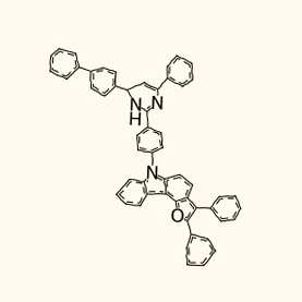 C1=C(c2ccccc2)N=C(c2ccc(-n3c4ccccc4c4c5oc(-c6ccccc6)c(-c6ccccc6)c5ccc43)cc2)NC1c1ccc(-c2ccccc2)cc1